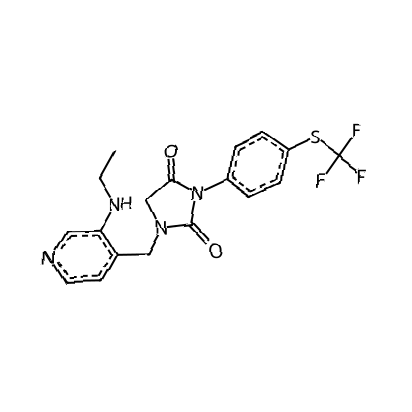 CCNc1cnccc1CN1CC(=O)N(c2ccc(SC(F)(F)F)cc2)C1=O